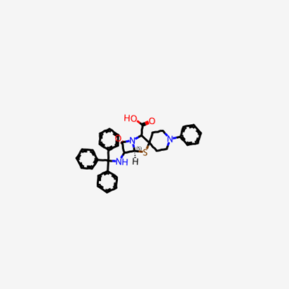 O=C(O)C1N2C(=O)C(NC(c3ccccc3)(c3ccccc3)c3ccccc3)[C@@H]2SC12CCN(c1ccccc1)CC2